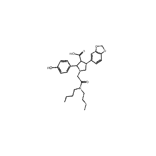 CCCCN(CCCC)C(=O)CN1CC(c2ccc3c(c2)OCO3)C(C(=O)O)C1c1ccc(O)cc1